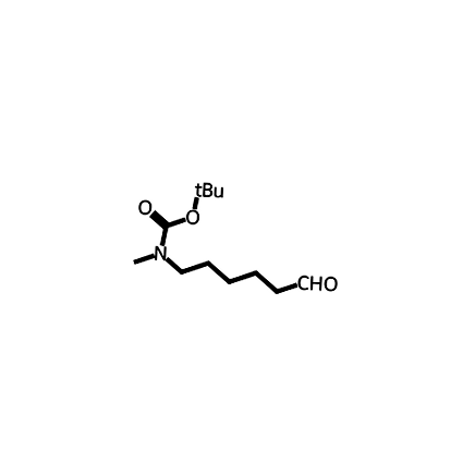 CN(CCCCCC=O)C(=O)OC(C)(C)C